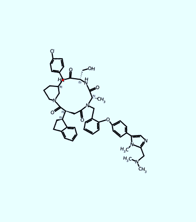 C[C@H]1C(=O)N[C@@H](CO)C(=O)N[C@@]2(Cc3ccc(Cl)cc3)CCCN(C2)C(=O)[C@H]([C@@H]2CCc3ccccc32)CC(=O)N1Cc1ccccc1Oc1ccc(-c2cnc(CN(C)C)n2C)cc1